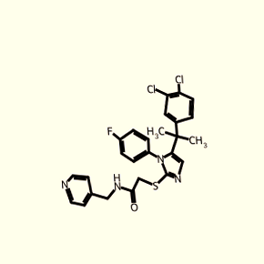 CC(C)(c1ccc(Cl)c(Cl)c1)c1cnc(SCC(=O)NCc2ccncc2)n1-c1ccc(F)cc1